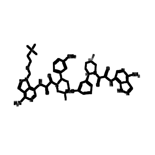 COc1cccc(C2CCC(C)CN2C(=O)C(=O)Nc2cnc(N)c3cnn(COCC[Si](C)(C)C)c23)c1.COc1cccc([C@H]2CC[C@H](C)CN2C(=O)C(=O)Nc2cnc(N)c3cn[nH]c23)c1